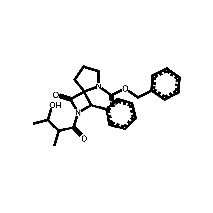 CC(O)C(C)C(=O)N1C(=O)C2(CCCN2C(=O)OCc2ccccc2)C1c1ccccc1